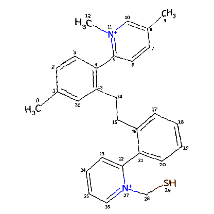 Cc1ccc(-c2ccc(C)c[n+]2C)c(CCc2ccccc2-c2cccc[n+]2CS)c1